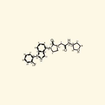 O=C(CN1CCN(c2cccc3c2cnn3-c2ccccc2F)C1=O)N[C@H]1CCOC1